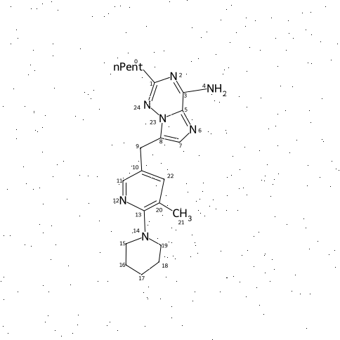 CCCCCc1nc(N)c2ncc(Cc3cnc(N4CCCCC4)c(C)c3)n2n1